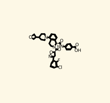 O=C(O)c1ccc(NC(=O)[C@@H]2c3cccc(N4CCC(C5COC5)CC4)c3CCN2C(=O)[C@H]2CC(c3cccc(Cl)c3F)=NO2)cc1